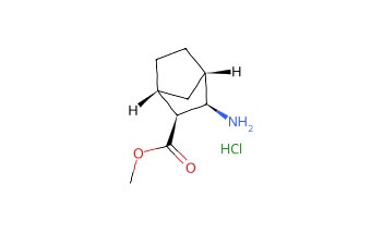 COC(=O)[C@H]1[C@@H]2CC[C@@H](C2)[C@H]1N.Cl